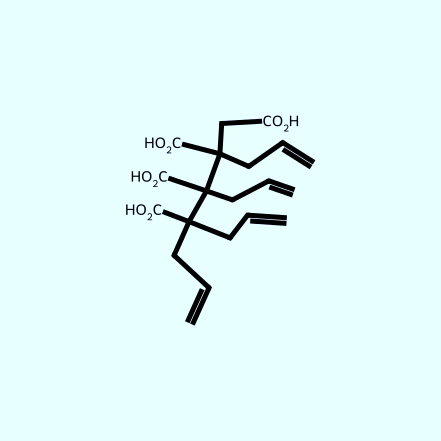 C=CCC(CC=C)(C(=O)O)C(CC=C)(C(=O)O)C(CC=C)(CC(=O)O)C(=O)O